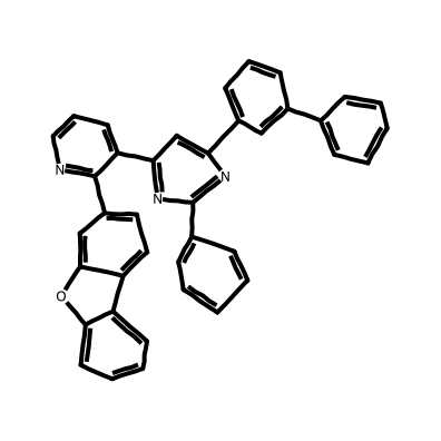 c1ccc(-c2cccc(-c3cc(-c4cccnc4-c4ccc5c(c4)oc4ccccc45)nc(-c4ccccc4)n3)c2)cc1